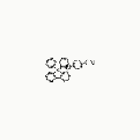 N#Cc1ccc(Nc2cccc3c2C(c2ccccc2)(c2ccccc2)c2ccccc2-3)cc1